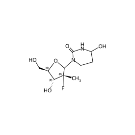 C[C@]1(F)C(N2CCC(O)NC2=O)O[C@H](CO)[C@H]1O